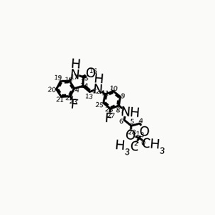 CC1(C)OCC(CNc2ccc(NC=C3C(=O)Nc4cccc(F)c43)cc2F)O1